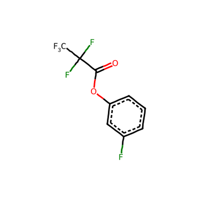 O=C(Oc1cccc(F)c1)C(F)(F)C(F)(F)F